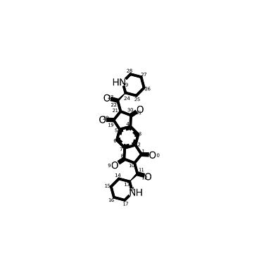 O=C1c2cc3c(cc2C(=O)C1C(=O)[C@@H]1CCCCN1)C(=O)C(C(=O)[C@@H]1CCCCN1)C3=O